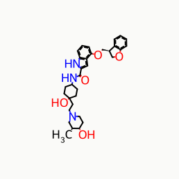 C[C@H]1CN(CCC2(O)CCC(NC(=O)c3cc4c(OC[C@@H]5COc6ccccc65)cccc4[nH]3)CC2)CC[C@@H]1O